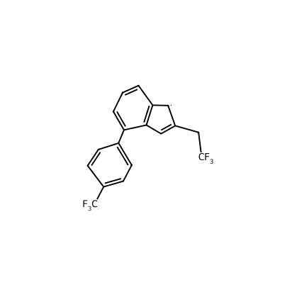 FC(F)(F)CC1=Cc2c(cccc2-c2ccc(C(F)(F)F)cc2)[CH]1